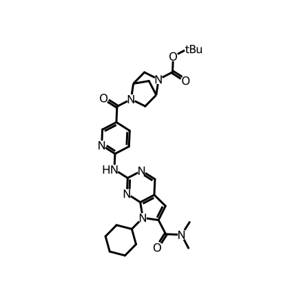 CN(C)C(=O)c1cc2cnc(Nc3ccc(C(=O)N4CC5CC4CN5C(=O)OC(C)(C)C)cn3)nc2n1C1CCCCC1